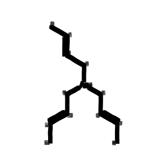 CC=CC[As](CC=CC)CC=CC